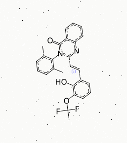 Cc1cccc(C)c1-n1c(/C=C/c2cccc(OC(C)(F)F)c2O)nc2ccccc2c1=O